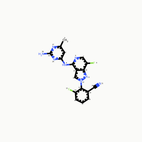 Cc1cc(Nc2ncc(F)c3nn(-c4c(F)cccc4C#N)cc23)nc(N)n1